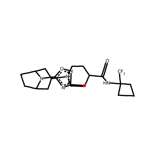 Cc1noc(N2C3CCC2CC(N2CCC(C(=O)NC4(C(F)(F)F)CCC4)CC2)C3)n1